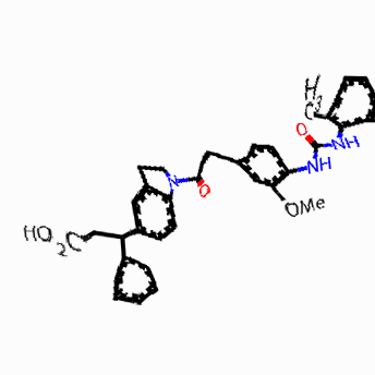 COc1cc(CC(=O)N2CCc3cc(C(CC(=O)O)c4ccccc4)ccc32)ccc1NC(=O)Nc1ccccc1C